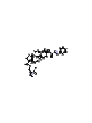 C/C=C(/CCC(C)C1CCC2(C)C3CCC4C(C)C(OC(=O)/C=C/c5ccccc5)CCC45CC35CCC12C)C(C)C